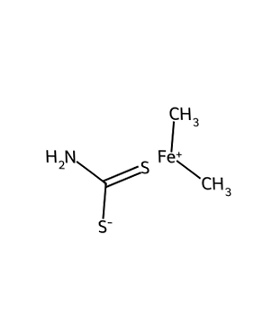 NC(=S)[S-].[CH3][Fe+][CH3]